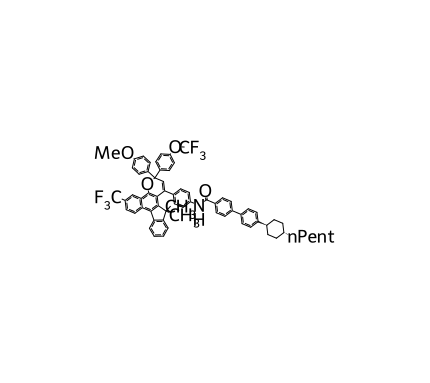 CCCCC[C@H]1CC[C@H](c2ccc(-c3ccc(C(=O)Nc4ccc(C5=CC(c6ccc(OC)cc6)(c6ccc(OC(F)(F)F)cc6)Oc6c5c5c(c7ccc(C(F)(F)F)cc67)-c6ccccc6C5(C)C)cc4)cc3)cc2)CC1